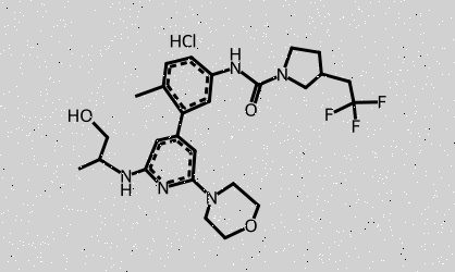 Cc1ccc(NC(=O)N2CCC(CC(F)(F)F)C2)cc1-c1cc(NC(C)CO)nc(N2CCOCC2)c1.Cl